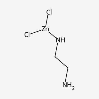 NCC[NH][Zn]([Cl])[Cl]